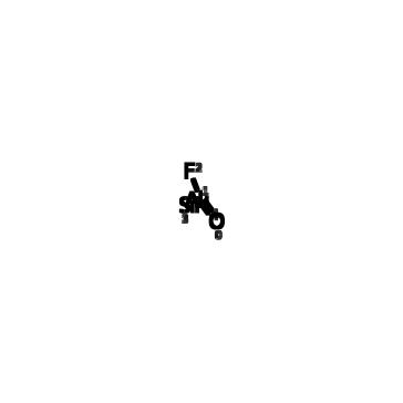 [O]=[Al][F].[SiH4]